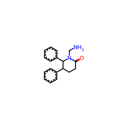 NCN1C(=O)CCC(c2ccccc2)C1c1ccccc1